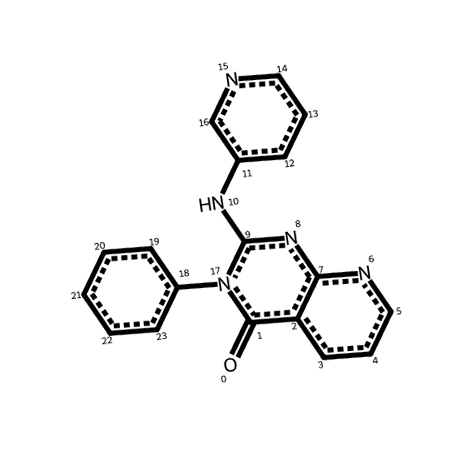 O=c1c2cccnc2nc(Nc2cccnc2)n1-c1ccccc1